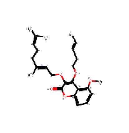 CCC=CCCOc1c(OC/C=C(\C)CCC=C(C)C)c(=O)oc2cccc(OC(C)C)c12